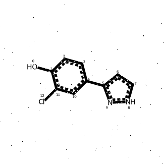 Oc1ccc(-c2cc[nH]n2)cc1Cl